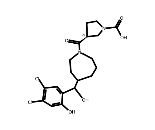 O=C(O)N1CC[C@H](C(=O)N2CCCC(C(O)c3cc(Cl)c(Cl)cc3O)CC2)C1